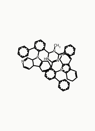 CN1C(c2ccccc2)N=C(c2cccc(-c3ccccc3)c2-n2c3c(c4c2CNC=C4)C=CCC3)NC1c1cccc(-c2ccccc2)c1N1C2=C(C=CCC2)C2C=CN=CC21